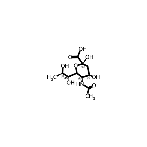 CC(=O)N[C@H]1C([C@H](O)[C@@H](C)O)O[C@](O)(C(=O)O)C[C@H]1O